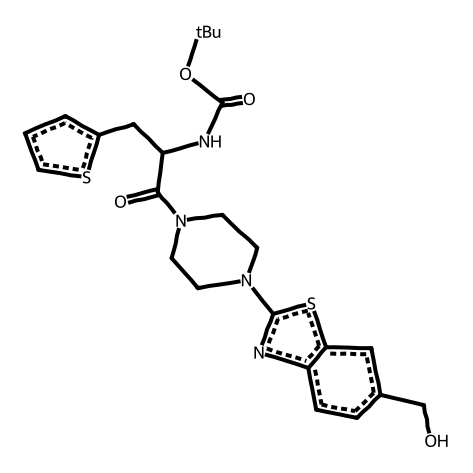 CC(C)(C)OC(=O)NC(Cc1cccs1)C(=O)N1CCN(c2nc3ccc(CO)cc3s2)CC1